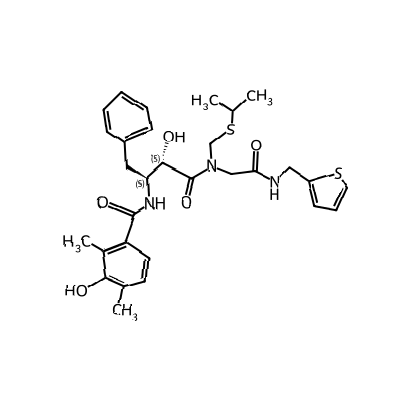 Cc1ccc(C(=O)N[C@@H](Cc2ccccc2)[C@H](O)C(=O)N(CSC(C)C)CC(=O)NCc2cccs2)c(C)c1O